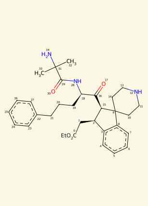 CCOC(=O)C[C@@H]1c2ccccc2C2(CCNCC2)[C@@H]1C(=O)[C@@H](CCCc1ccccc1)NC(=O)C(C)(C)N